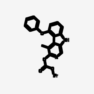 Cc1c(OC(=O)OC(C)C)ncc2[nH]c3cccc(Oc4ccccc4)c3c12